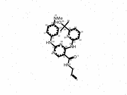 C=CCNC(=O)c1cnc(Nc2ccc(NC)cc2)nc1Nc1cccc(C(C)(C)O)n1